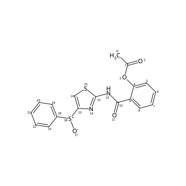 CC(=O)Oc1ccccc1C(=O)Nc1nc([S+]([O-])c2ccccc2)cs1